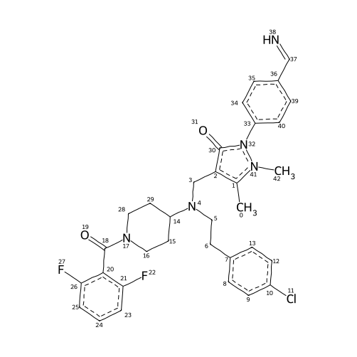 Cc1c(CN(CCc2ccc(Cl)cc2)C2CCN(C(=O)c3c(F)cccc3F)CC2)c(=O)n(-c2ccc(C=N)cc2)n1C